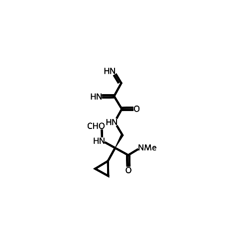 CNC(=O)[C@@](CNC(=O)C(=N)C=N)(NC=O)C1CC1